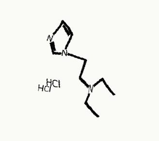 CCN(CC)CCn1ccnc1.Cl.Cl